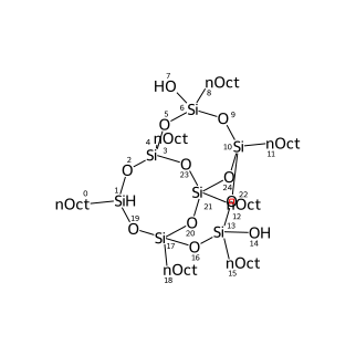 CCCCCCCC[SiH]1O[Si]2(CCCCCCCC)O[Si](O)(CCCCCCCC)O[Si]3(CCCCCCCC)O[Si](O)(CCCCCCCC)O[Si](CCCCCCCC)(O1)O[Si](CCCCCCCC)(O2)O3